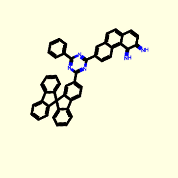 N=C1C=Cc2ccc3cc(-c4nc(-c5ccccc5)nc(-c5ccc6c(c5)C5(c7ccccc7-c7ccccc75)c5ccccc5-6)n4)ccc3c2C1=N